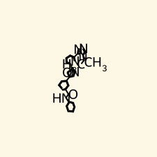 CC(C)n1cnnc1-c1cccc(-c2ncc(-c3cccc(C(=O)Nc4ccccc4)c3)o2)n1